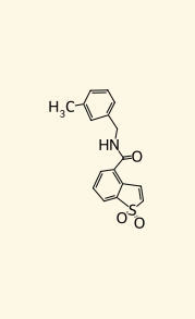 Cc1cccc(CNC(=O)c2cccc3c2C=CS3(=O)=O)c1